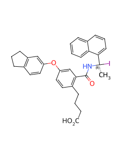 C[C@](I)(NC(=O)c1cc(Oc2ccc3c(c2)CCC3)ccc1CCCC(=O)O)c1cccc2ccccc12